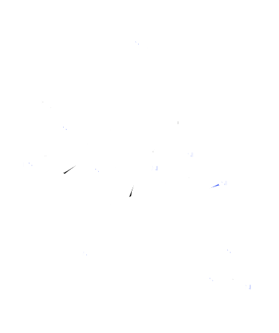 CC(C)[C@H](NC(=O)[C@@H](N)CCCNC(=N)N)C(=O)N[C@@H](CCCCN)C(=O)N[C@@H](CC(N)=O)C(=O)N[C@@H](CCCCN)C(=O)O